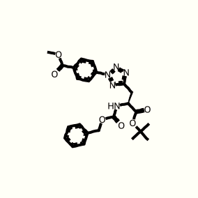 COC(=O)c1ccc(-n2nnc(C[C@H](NC(=O)OCc3ccccc3)C(=O)OC(C)(C)C)n2)cc1